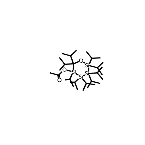 CC(=O)O[Si]1(C(C)C)C(C(C)C)(C(C)C)O[Si](C(C)C)(C(C)C)[Si](C(C)C)(C(C)C)[Si]1(C(C)C)C(C)C